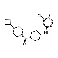 Cc1ccc(N[C@H]2CC[C@@H](C(=O)N3CCN(C4CCC4)CC3)CC2)cc1Cl